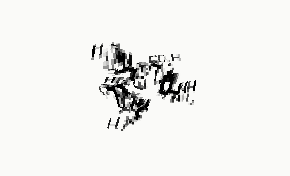 N=C(N)c1ccc(OC[C@H](O/N=C(\C(=O)N[C@@H]2C(=O)N(S(=O)(=O)O)[C@@H]2Cn2ncc(CN)n2)c2csc(N)n2)C(=O)O)cc1